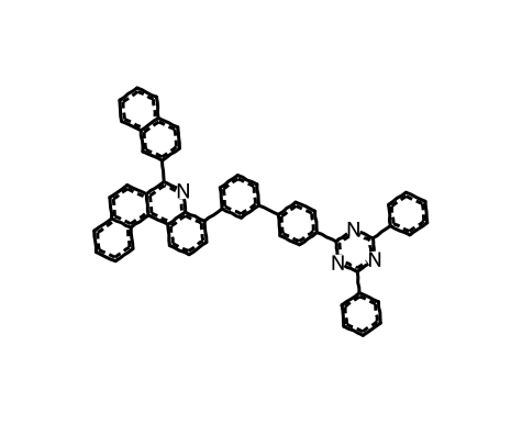 c1ccc(-c2nc(-c3ccccc3)nc(-c3ccc(-c4cccc(-c5cccc6c5nc(-c5ccc7ccccc7c5)c5ccc7ccccc7c56)c4)cc3)n2)cc1